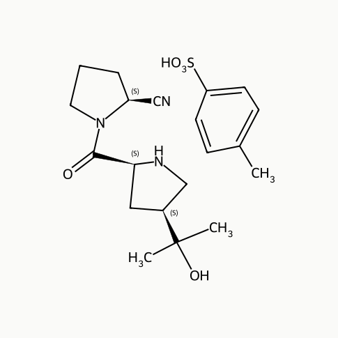 CC(C)(O)[C@@H]1CN[C@H](C(=O)N2CCC[C@H]2C#N)C1.Cc1ccc(S(=O)(=O)O)cc1